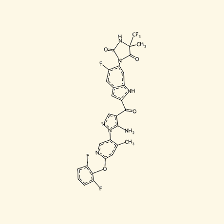 Cc1cc(Oc2c(F)cccc2F)ncc1-n1ncc(C(=O)c2cc3cc(F)c(N4C(=O)NC(C)(C(F)(F)F)C4=O)cc3[nH]2)c1N